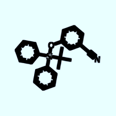 CC(C)(C)[Si](Oc1cccc(C#N)c1)(c1ccccc1)c1ccccc1